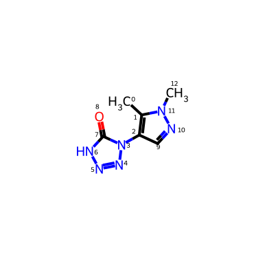 Cc1c(-n2nn[nH]c2=O)cnn1C